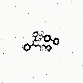 O=C(NC(CCNCc1ccco1)c1ccccc1)C1SCCN1S(=O)(=O)c1ccc(-c2ccccc2)cc1